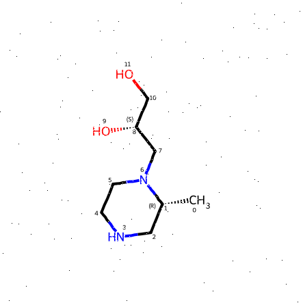 C[C@@H]1CNCCN1C[C@H](O)CO